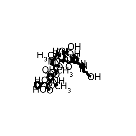 CC[C@@H](CO[C@@H](C)OC(C)C(O)[C@H](O)CO)CC(C[C@H](C)O[C@@H]1O[C@@H](CO)C(O)C(O[C@@H](CC2CCCCC2)C(=O)O)C1NC(C)=O)C(=O)NCCNC(=O)c1cncc(-c2cn(CCCO)nn2)c1